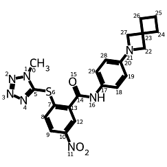 Cn1nnnc1Sc1ccc([N+](=O)[O-])cc1C(=O)Nc1ccc(N2CC3(CCC3)C2)cc1